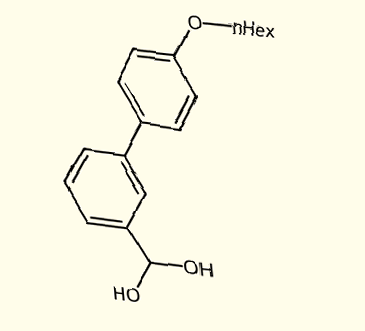 CCCCCCOc1ccc(-c2cccc(C(O)O)c2)cc1